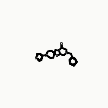 O=C1CN(Cc2ccccc2)CC2OC3(CCN(c4ccncc4)CC3)CN12